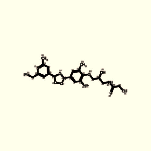 CCCc1cc(N2OOC(c3cc(C)nc(CC(C)C)c3)O2)cc(C)c1OCC(O)CNC(=O)CO